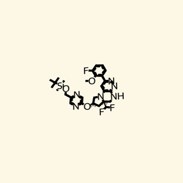 COc1c(F)cccc1-c1cc2c(nn1)NC[C@]1(C(F)F)C[C@@H](Oc3cnc(CO[Si](C)(C)C(C)(C)C)cn3)CN21